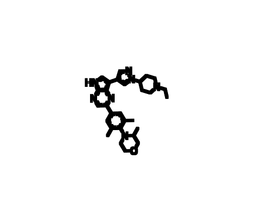 CCN1CCC(n2cc(-c3c[nH]c4ncc(-c5cc(C)c(N6CCOCC6C)c(C)c5)nc34)cn2)CC1